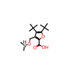 C[SiH](C)OCc1c(C(=O)O)oc(C(C)(C)C)c1C(C)(C)C